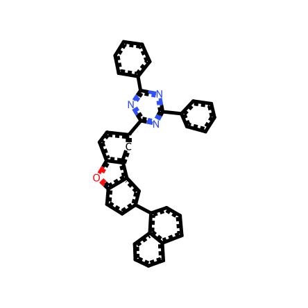 c1ccc(-c2nc(-c3ccccc3)nc(-c3ccc4oc5ccc(-c6cccc7ccccc67)cc5c4c3)n2)cc1